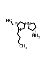 CCCCN1CCC[C@H]1CO.N[C@H]1CCNC1